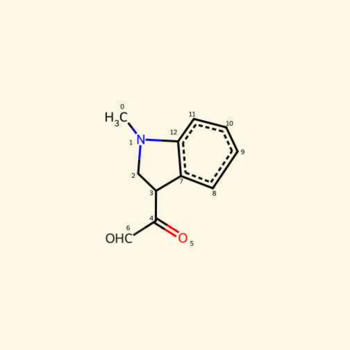 CN1CC(C(=O)C=O)c2ccccc21